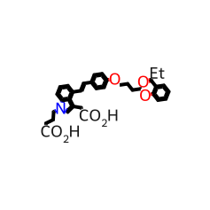 CCC(=O)c1ccccc1OCCCCOc1ccc(C=Cc2cccc3c2c(CC(=O)O)cn3CCCC(=O)O)cc1